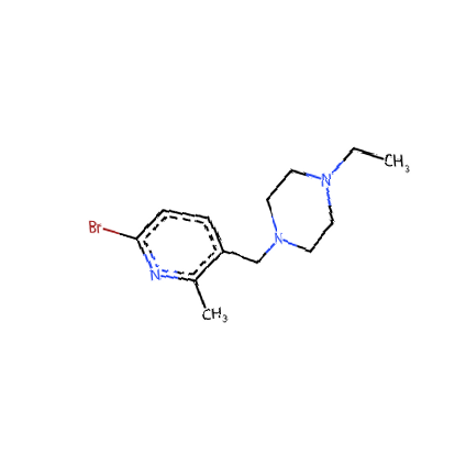 CCN1CCN(Cc2ccc(Br)nc2C)CC1